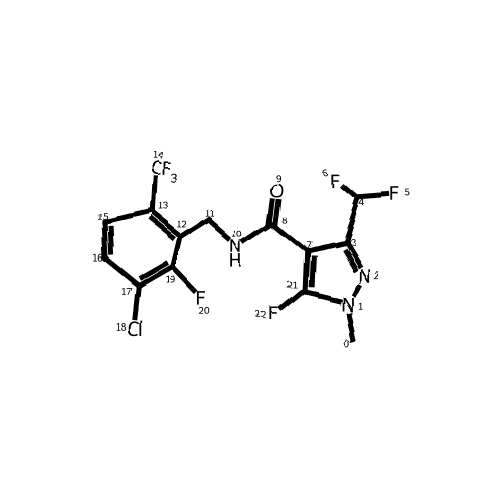 Cn1nc(C(F)F)c(C(=O)NCc2c(C(F)(F)F)ccc(Cl)c2F)c1F